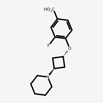 O=C(O)c1ccc(O[C@H]2C[C@H](N3CCCCC3)C2)c(F)c1